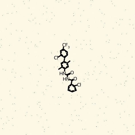 Cc1cc(-c2ccc(C(F)(F)F)cc2Cl)c(C)cc1NC(=O)NC(=O)c1ccccc1Cl